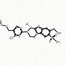 CCOOCc1cnc(N2CCn3c(nc4cc(COC(C)=O)c(S(C)(=O)=O)cc43)[C@H]2C(C)C)nc1C